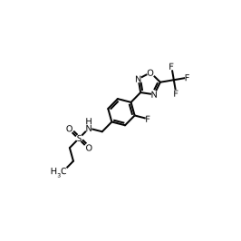 CCCS(=O)(=O)NCc1ccc(-c2noc(C(F)(F)F)n2)c(F)c1